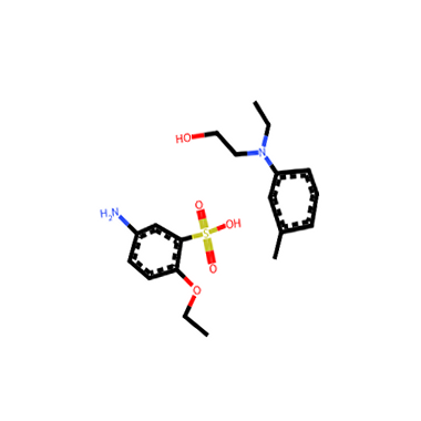 CCN(CCO)c1cccc(C)c1.CCOc1ccc(N)cc1S(=O)(=O)O